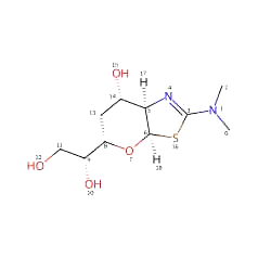 CN(C)C1=N[C@H]2[C@H](O[C@H]([C@H](O)CO)C[C@@H]2O)S1